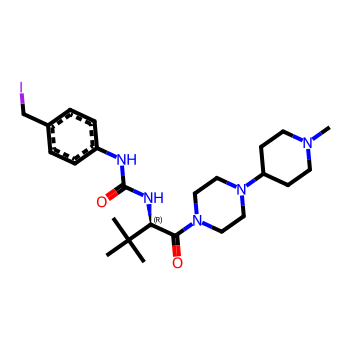 CN1CCC(N2CCN(C(=O)[C@H](NC(=O)Nc3ccc(CI)cc3)C(C)(C)C)CC2)CC1